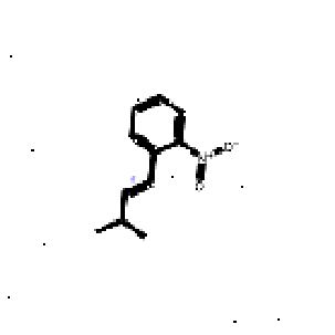 CC(C)/C=C/c1ccccc1[N+](=O)[O-]